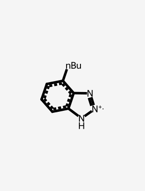 CCCCc1cccc2c1N=[N+]N2